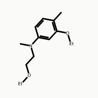 CCOCCN(C)c1ccc(C)c(OCC)c1